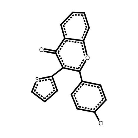 O=c1c(-c2cccs2)c(-c2ccc(Cl)cc2)oc2ccccc12